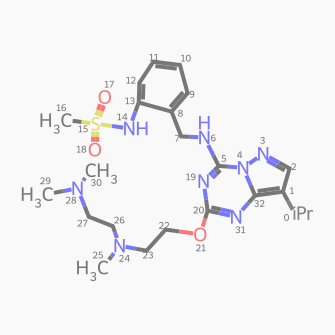 CC(C)c1cnn2c(NCc3ccccc3NS(C)(=O)=O)nc(OCCN(C)CCN(C)C)nc12